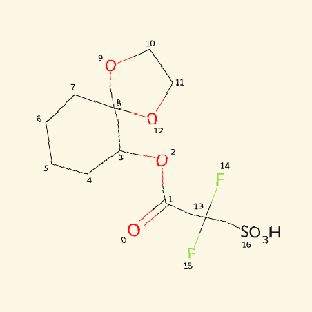 O=C(OC1CCCCC12OCCO2)C(F)(F)S(=O)(=O)O